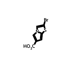 O=C(O)c1cc2sc(Br)cn2c1